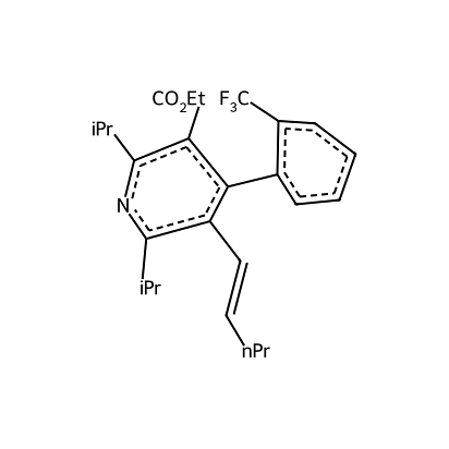 CCCC=Cc1c(C(C)C)nc(C(C)C)c(C(=O)OCC)c1-c1ccccc1C(F)(F)F